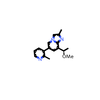 CO[C@H](C)c1cc(-c2cccnc2C)cn2cc(C)nc12